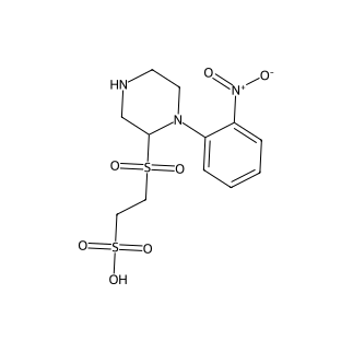 O=[N+]([O-])c1ccccc1N1CCNCC1S(=O)(=O)CCS(=O)(=O)O